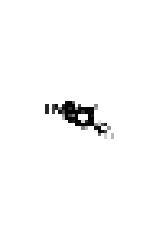 C=C1/C=C(OCC(=O)O)\C=C/C[C@H]2CC[C@]3(C)[C@@H](O)CC[C@H]3C2CC1